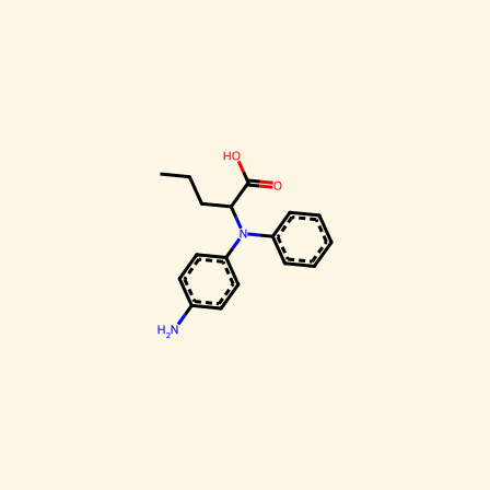 CCCC(C(=O)O)N(c1ccccc1)c1ccc(N)cc1